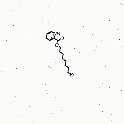 O=C(OCCCCCCCCBr)C1=CCC=CN1